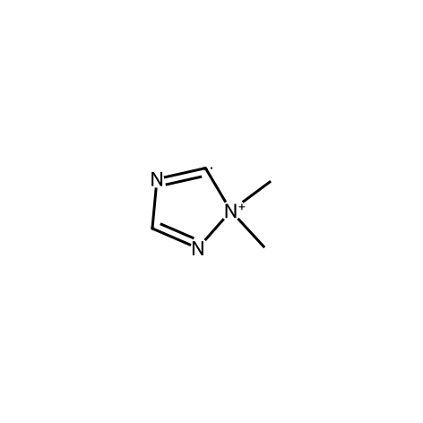 C[N+]1(C)[C]=NC=N1